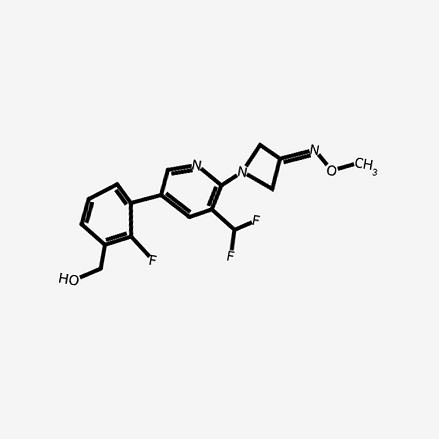 CON=C1CN(c2ncc(-c3cccc(CO)c3F)cc2C(F)F)C1